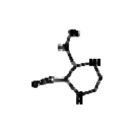 CC(C)(C)NC1NCCNC1=C=O